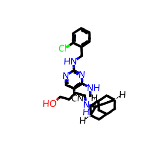 N#Cc1cnc(NCc2ccccc2Cl)nc1NC[C@@]12CC3C[C@H](C1)[C@@H](NCCCCO)[C@@H](C3)C2